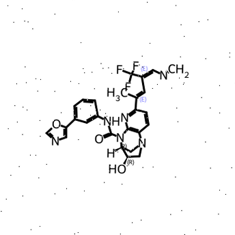 C=N/C=C(\C=C(/C)c1ccc2c(n1)N(C(=O)Nc1cccc(-c3cnco3)c1)[C@@H]1CN2C[C@H]1O)C(F)(F)F